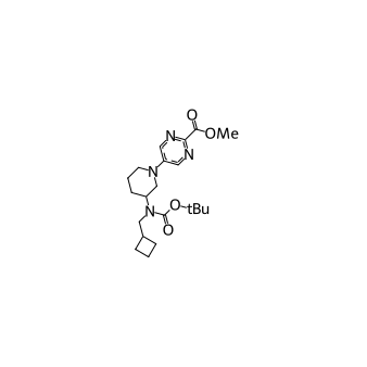 COC(=O)c1ncc(N2CCCC(N(CC3CCC3)C(=O)OC(C)(C)C)C2)cn1